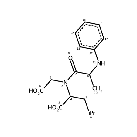 CC(C)CC(C(=O)O)N(CC(=O)O)C(=O)C(C)Nc1ccccc1